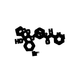 O=C(OC1C[N+]2(C(=O)Nc3cccnn3)CCC1CC2)[C@](O)(c1ccco1)C1CCCCC1.[Br-]